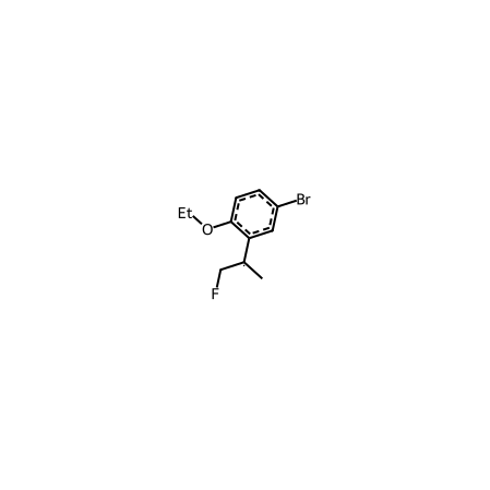 CCOc1ccc(Br)cc1[C](C)CF